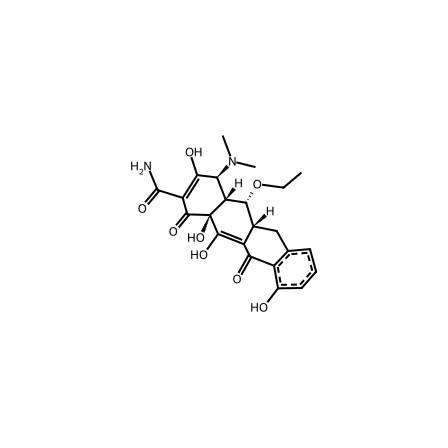 CCO[C@H]1[C@H]2[C@H](N(C)C)C(O)=C(C(N)=O)C(=O)[C@@]2(O)C(O)=C2C(=O)c3c(O)cccc3C[C@H]21